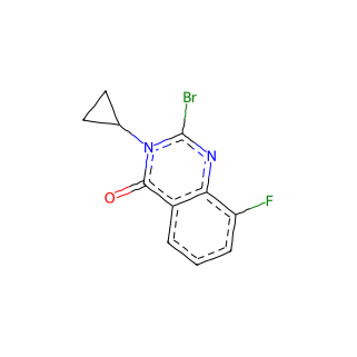 O=c1c2cccc(F)c2nc(Br)n1C1CC1